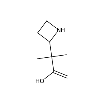 C=C(O)C(C)(C)C1CCN1